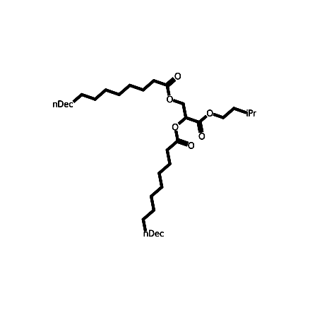 CCCCCCCCCCCCCCCCCC(=O)OCC(OC(=O)CCCCCCCCCCCCCCCCC)C(=O)OCCC(C)C